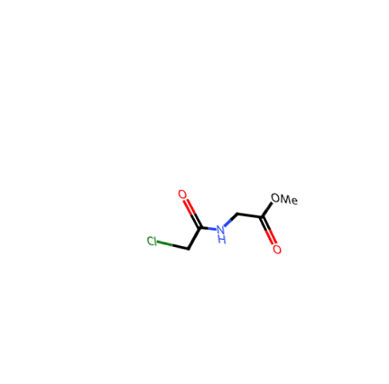 COC(=O)CNC(=O)CCl